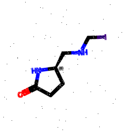 O=C1CC[C@H](CNCI)N1